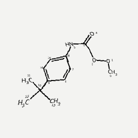 COOC(=O)Nc1ccc(C(C)(C)C)cc1